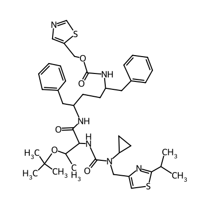 CC(C)c1nc(CN(C(=O)NC(C(=O)NC(CCC(Cc2ccccc2)NC(=O)OCc2cncs2)Cc2ccccc2)C(C)OC(C)(C)C)C2CC2)cs1